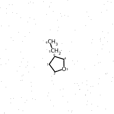 C1CCOC1.[CH2]C